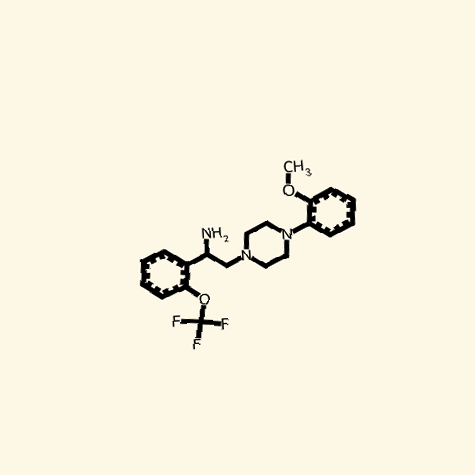 COc1ccccc1N1CCN(CC(N)c2ccccc2OC(F)(F)F)CC1